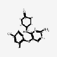 Cc1cc(Cl)ccc1Sc1cnc(N)nc1NC1CCC(=O)CC1